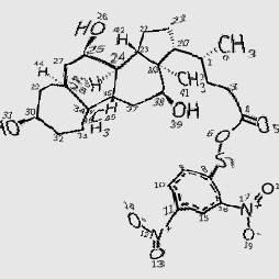 C[C@H](CCC(=O)OSc1ccc([N+](=O)[O-])cc1[N+](=O)[O-])[C@H]1CC[C@H]2[C@@H]3[C@H](O)C[C@@H]4C[C@H](O)CC[C@]4(C)[C@H]3C[C@H](O)[C@]12C